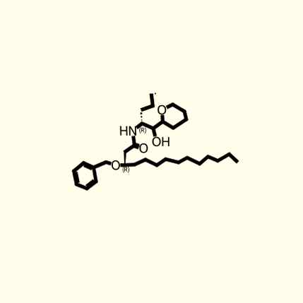 [CH2]CC[C@@H](NC(=O)C[C@@H](CCCCCCCCCCC)OCc1ccccc1)C(O)C1CCCCO1